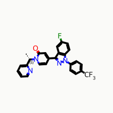 C[C@@H](c1ccccn1)n1ccc(-c2nn(-c3ccc(C(F)(F)F)cc3)c3ccc(F)cc23)cc1=O